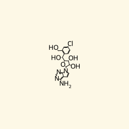 Nc1ncnc2c1ccn2C1OC([C@H](O)c2ccc(Cl)cc2CO)C(O)C1O